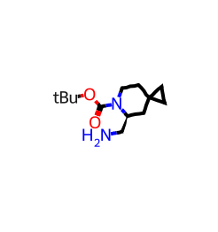 CC(C)(C)OC(=O)N1CCC2(CC2)C[C@H]1CN